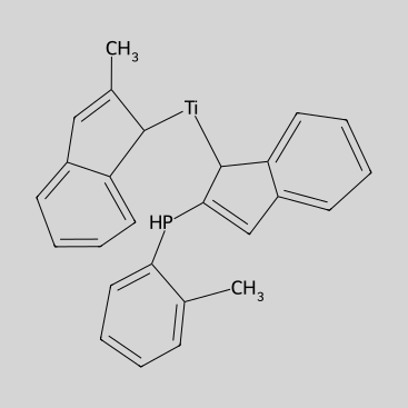 CC1=Cc2ccccc2[CH]1[Ti][CH]1C(Pc2ccccc2C)=Cc2ccccc21